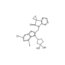 O=C1N(Cc2cc3cc(Cl)cc(F)c3n2C2CCS(O)(O)C2)c2cnccc2C12CC2